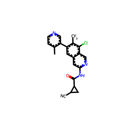 Cc1ccncc1-c1cc2cc(NC(=O)C3CC3C#N)ncc2c(Cl)c1C(F)(F)F